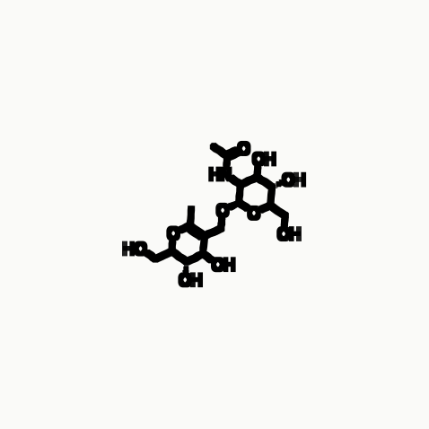 CC(=O)NC1C(O)[C@H](O)C(CO)O[C@H]1OCC1=C(C)OC(CO)[C@@H](O)C1O